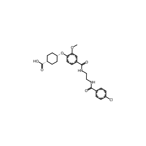 COc1cc(C(=O)NCCNC(=O)c2ccc(Cl)cc2)ccc1O[C@H]1CC[C@@H](C(=O)O)CC1